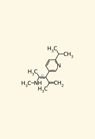 C=C(C)/C(=C(/C)NC)c1ccc(C(C)C)nc1